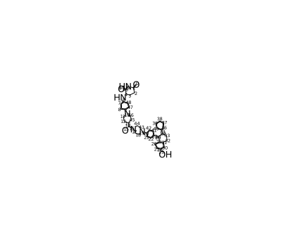 O=C1CCC(Nc2ccc(N3CCC(C(=O)N4CCN(c5ccc([C@@H]6c7ccc(O)cc7CC[C@@H]6c6ccccc6)cc5)CC4)CC3)cc2)C(=O)N1